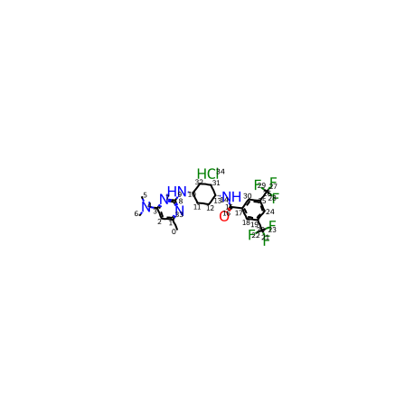 Cc1cc(N(C)C)nc(N[C@H]2CC[C@@H](NC(=O)c3cc(C(F)(F)F)cc(C(F)(F)F)c3)CC2)n1.Cl